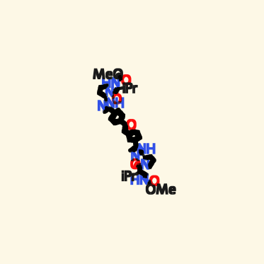 COC(=O)NC[C@H](C(=O)N1CCC[C@H]1c1ncc(-c2ccc3oc(-c4ccc(-c5cnc([C@@H]6CCCN6C(=O)[C@@H](NC(=O)OC)C(C)C)[nH]5)cc4)cc3c2)[nH]1)C(C)C